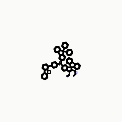 C=CC1=C(/C=C\C)C2(c3cc(N(c4ccc(-c5cccc6c5oc5ccccc56)cc4)c4ccc5c(c4)-c4ccccc4C5(c4ccccc4)c4ccccc4)ccc31)c1ccccc1-c1ccccc12